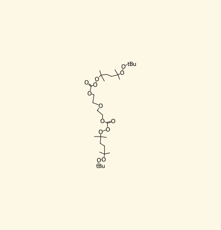 CC(C)(C)OOC(C)(C)CCC(C)(C)OOC(=O)OCCOCCOC(=O)OOC(C)(C)CCC(C)(C)OOC(C)(C)C